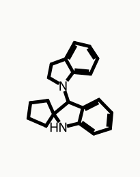 c1ccc2c(c1)CCN2C1c2ccccc2NC12CCCC2